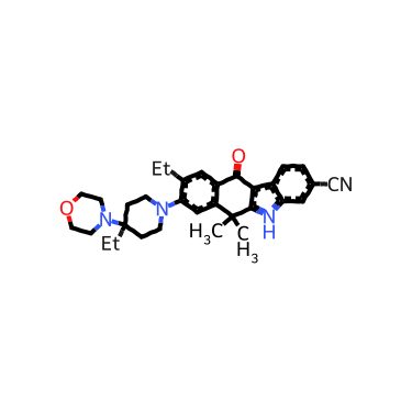 CCc1cc2c(cc1N1CCC(CC)(N3CCOCC3)CC1)C(C)(C)c1[nH]c3cc(C#N)ccc3c1C2=O